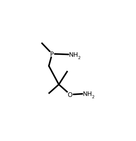 CP(N)CC(C)(C)ON